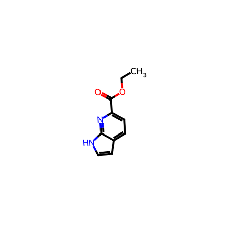 CCOC(=O)c1ccc2cc[nH]c2n1